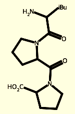 CCC(C)C(N)C(=O)N1CCCC1C(=O)N1CCCC1C(=O)O